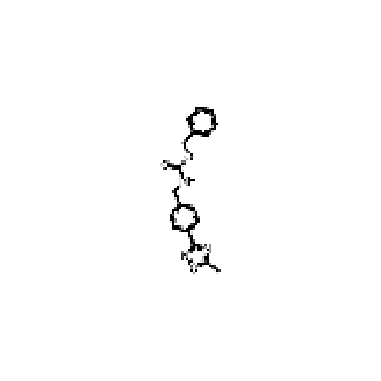 Cc1nc(-c2ccc(CNC(=O)OCc3ccccc3)cc2)no1